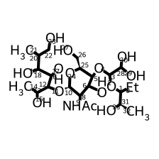 CCC(OC(OC1C(O)C(NC(C)=O)[C@H](OC(C(C)O)C(O)C(O)C(C)CO)O[C@H]1CO)C(O)O)[C@@H](C)O